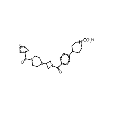 O=C(O)N1CCC(c2ccc(C(=O)N3CC(N4CCN(C(=O)c5cscn5)CC4)C3)cc2)CC1